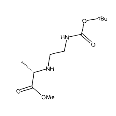 COC(=O)[C@H](C)NCCNC(=O)OC(C)(C)C